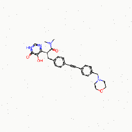 CN(C)C(=O)C(Cc1ccc(C#Cc2ccc(CN3CCOCC3)cc2)cc1)c1nc[nH]c(=O)c1O